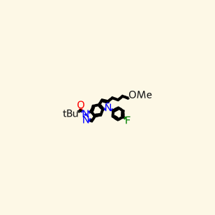 COCCCCc1cc2cc3c(cnn3C(=O)C(C)(C)C)cc2n1-c1ccc(F)cc1